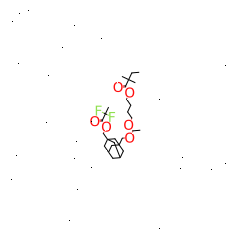 CCC(C)(C)C(=O)OCCCCOC(C)OCC12CC3CC(CC(COC(=O)C(C)(F)F)(C3)C1)C2